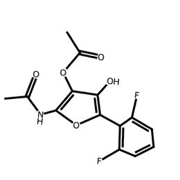 CC(=O)Nc1oc(-c2c(F)cccc2F)c(O)c1OC(C)=O